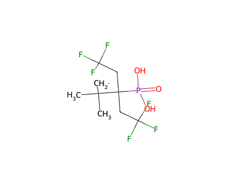 [CH2]C(C)(C)C(CC(F)(F)F)(CC(F)(F)F)P(=O)(O)O